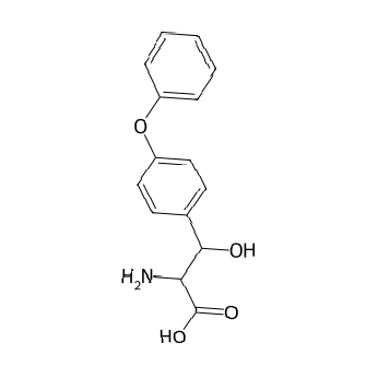 NC(C(=O)O)C(O)c1ccc(Oc2ccccc2)cc1